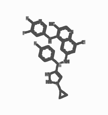 N#Cc1cnc2c(Cl)cc(N[C@H](C3=CN(C4CC4)NN3)c3ccc(F)cc3)cc2c1Nc1cnc(F)c(F)c1